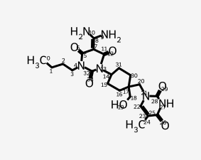 CCCCN1C(=O)C(=C(N)N)C(=O)N(C2CCC(CO)(Cn3cc(C)c(=O)[nH]c3=O)CC2)C1=O